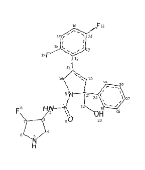 O=C(NC1CNCC1F)N1CC(c2cc(F)ccc2F)=CC1(CO)c1ccccc1